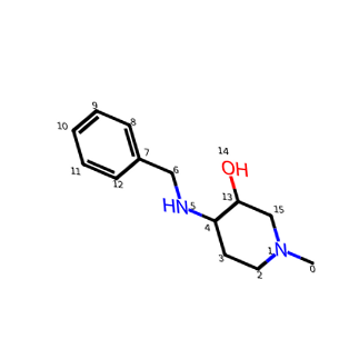 CN1CCC(NCc2ccccc2)C(O)C1